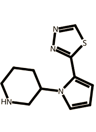 c1cc(-c2nncs2)n(C2CCCNC2)c1